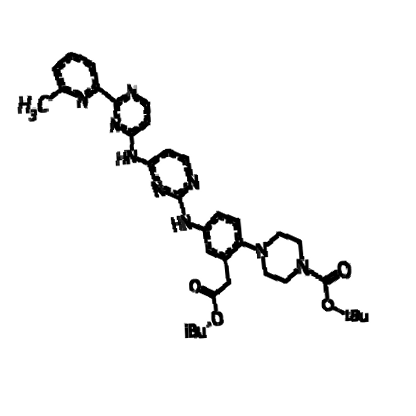 CC[C@@H](C)OC(=O)Cc1cc(Nc2nccc(Nc3ccnc(-c4cccc(C)n4)n3)n2)ccc1N1CCN(C(=O)OC(C)(C)C)CC1